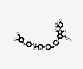 COc1cc(N2CCN(CC3CCN(c4ccc(C(=O)N[C@H]5CC[C@H](Oc6ccc(C#N)c(Cl)c6)CC5)nn4)CC3)CC2)cc2c1C(=O)N(C1CCC(=O)NC1=O)C2=O